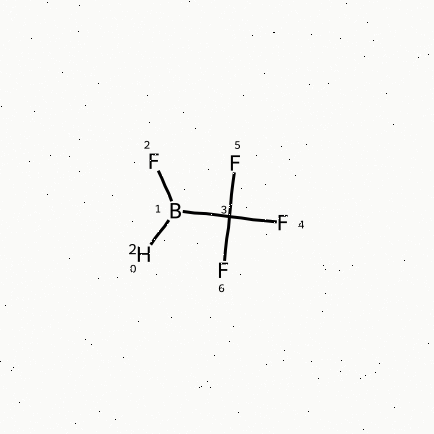 [2H]B(F)C(F)(F)F